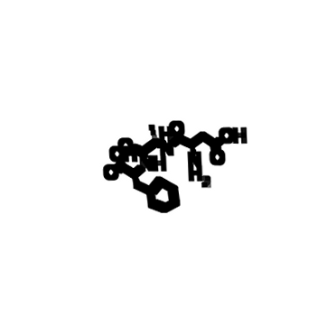 C[C@H](NC(=O)[C@@H](N)CC(=O)O)C(=O)N[C@@H](Cc1ccccc1)C(=O)O